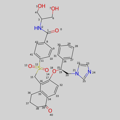 O=C(NC(CO)CO)c1ccc(S(=O)(=O)Cc2c(O[C@H](Cn3ccnc3)c3ccccc3)ccc3c2CCCC3=O)cc1